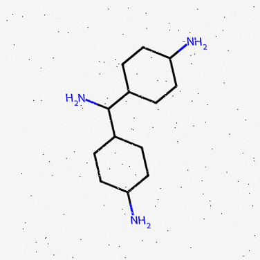 NC1CCC(C(N)C2CCC(N)CC2)CC1